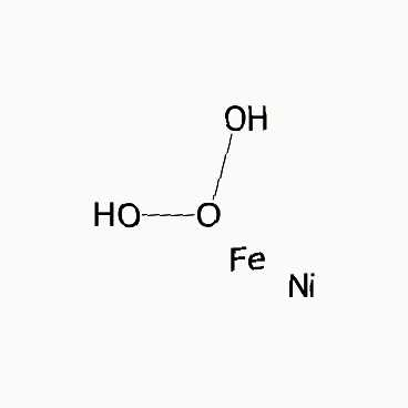 OOO.[Fe].[Ni]